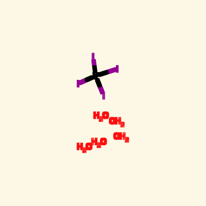 O.O.O.O.O.[I][V]([I])([I])[I]